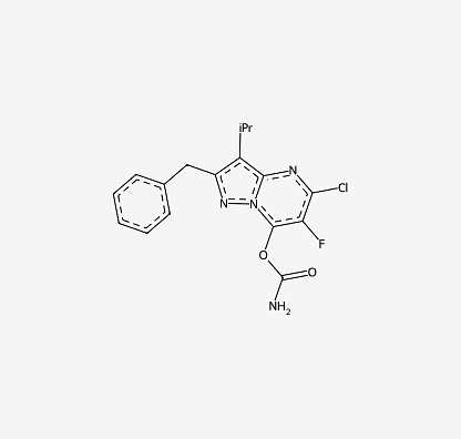 CC(C)c1c(Cc2ccccc2)nn2c(OC(N)=O)c(F)c(Cl)nc12